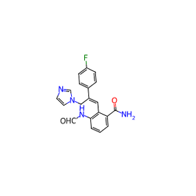 NC(=O)c1cccc(NC=O)c1C=C(Cn1ccnc1)c1ccc(F)cc1